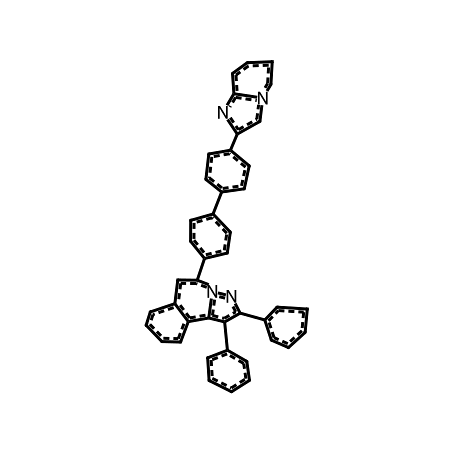 c1ccc(-c2nn3c(-c4ccc(-c5ccc(-c6cn7ccccc7n6)cc5)cc4)cc4ccccc4c3c2-c2ccccc2)cc1